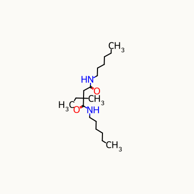 CCCCCCNC(=O)CC(C)(CC)C(=O)NCCCCCC